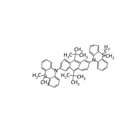 CC(C)(C)c1c2ccc(N3c4ccccc4[Si](C)(C)c4ccccc43)cc2c(C(C)(C)C)c2ccc(N3c4ccccc4[Si](C)(C)c4ccccc43)cc12